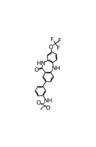 CS(=O)(=O)Nc1cccc(-c2ccc3c(c2)C(=O)Nc2cc(OC(F)(F)F)ccc2N3)c1